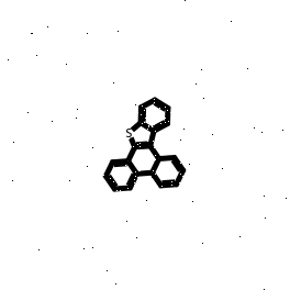 C1=CC2c3ccccc3-c3sc4ccccc4c3C2C=C1